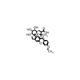 CCOc1ccc(Cc2cc3c(cc2Cl)CC[C@]32O[C@H](CC(C(=O)O)C(C)(C)C)[C@@H](O)[C@H](O)[C@H]2O)cc1